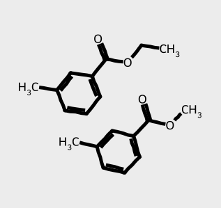 CCOC(=O)c1cccc(C)c1.COC(=O)c1cccc(C)c1